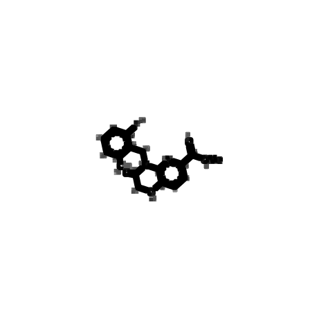 COC(=O)c1ccc2c(n1)N(Cc1c(F)cccc1Cl)C(=O)CO2